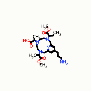 CCC(C(=O)OC)N1CCN(C(C)C(=O)O)CCN(C(C)C(=O)OC)Cc2cc(CCCN)cc(n2)C1